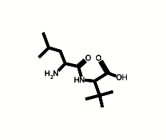 CC(C)CC(N)C(=O)NC(C(=O)O)C(C)(C)C